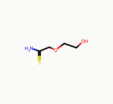 NC(=S)COCCO